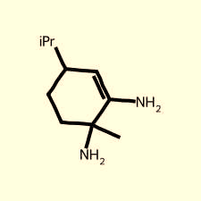 CC(C)C1C=C(N)C(C)(N)CC1